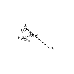 CCCCCCCCCCCCCCC(=O)OCC(CCCCCC(CC)CC)OC(=O)CCCCN(C)C